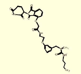 CCCCNC(=O)N(C)Cc1cccc(OCCNC(=O)COc2cccc3c2C(=O)N(C2CCC(=O)NC2=O)C3=O)c1